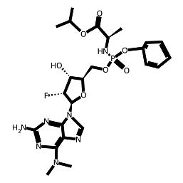 CC(C)OC(=O)[C@@H](C)N[P@](=O)(OC[C@H]1O[C@@H](n2cnc3c(N(C)C)nc(N)nc32)[C@H](F)[C@@H]1O)Oc1ccccc1